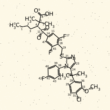 CCCCC(C(C)(C)C(=O)O)S(=O)(=O)c1cc(F)c(CSc2ncc(C(C)(C)c3ccc(Cl)c(OC)c3)n2-c2ccc(F)cc2)c(F)c1